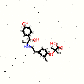 Cc1cc(CCN[C@@H](C)[C@@H](O)c2ccc(O)cc2)ccc1OC(C)(C)C(=O)O